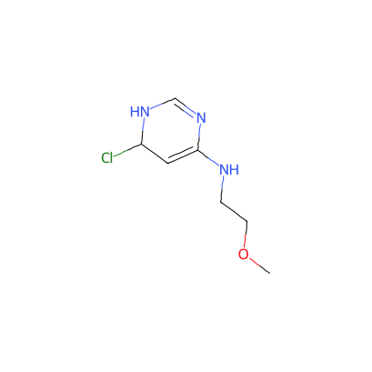 COCCNC1=CC(Cl)NC=N1